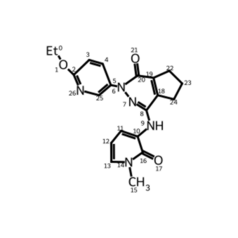 CCOc1ccc(-n2nc(Nc3cccn(C)c3=O)c3c(c2=O)CCC3)cn1